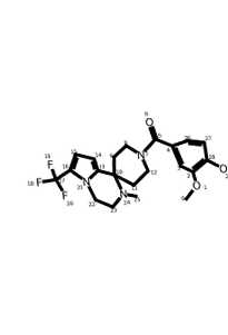 COc1cc(C(=O)N2CCC3(CC2)c2ccc(C(F)(F)F)n2CCN3C)ccc1O